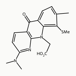 CSc1c(C)ccc2c(=O)c3ccc(N(C)C)nc3n(CC(=O)O)c12